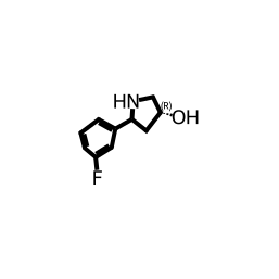 O[C@H]1CNC(c2cccc(F)c2)C1